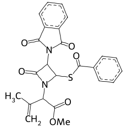 C=C(C)C(C(=O)OC)N1C(=O)C(N2C(=O)c3ccccc3C2=O)C1SC(=O)c1ccccc1